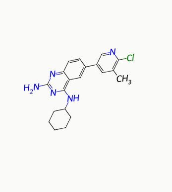 Cc1cc(-c2ccc3nc(N)nc(NC4CCCCC4)c3c2)cnc1Cl